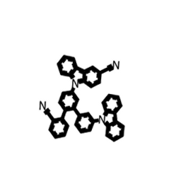 N#Cc1ccc2c(c1)c1ccccc1n2-c1ccc(-c2ccccc2C#N)c(-c2cccc(-n3c4ccccc4c4ccccc43)c2)c1